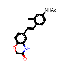 CC(=O)Nc1ccc(C=Cc2ccc3c(c2)NC(=O)CO3)c(C)c1